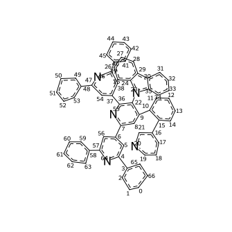 c1ccc(-c2cc(-c3cc(-c4ccccc4-c4cccnc4)c(-n4c5ccccc5c5ccccc54)c(-c4cc(-c5ccccc5)nc(-c5ccccc5)c4)n3)cc(-c3ccccc3)n2)cc1